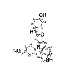 N#CC[C@H]1CC[C@H](n2c(CC(=O)NC3CCC(O)CC3)nc3cnc4[nH]ccc4c32)CC1